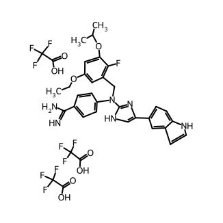 CCOc1cc(CN(c2ccc(C(=N)N)cc2)c2nc(-c3ccc4[nH]ccc4c3)c[nH]2)c(F)c(OC(C)C)c1.O=C(O)C(F)(F)F.O=C(O)C(F)(F)F.O=C(O)C(F)(F)F